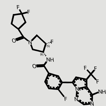 Nc1ncnn2c(-c3cc(C(=O)N[C@@H]4CN(C(=O)C5CCC(F)(F)C5)C[C@@H]4F)ccc3F)cc(C(F)(F)F)c12